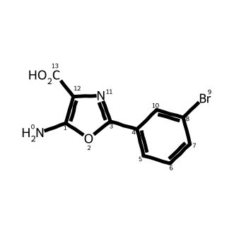 Nc1oc(-c2cccc(Br)c2)nc1C(=O)O